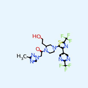 Cc1ncn(CC(=O)N2CCN(c3sc(C(F)(F)F)nc3-c3cnc(C(F)(F)F)nc3)CC2CCO)n1